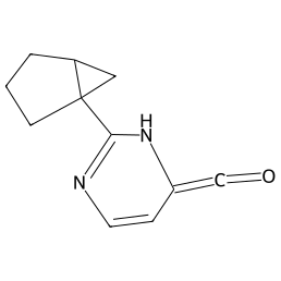 O=C=C1C=CN=C(C23CCCC2C3)N1